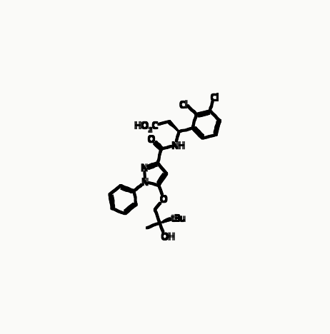 CC(C)(C)[C@](C)(O)COc1cc(C(=O)N[C@@H](CC(=O)O)c2cccc(Cl)c2Cl)nn1-c1ccccc1